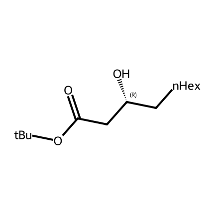 CCCCCCC[C@@H](O)CC(=O)OC(C)(C)C